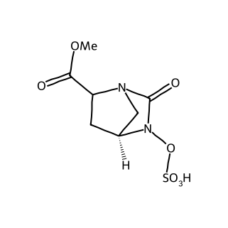 COC(=O)C1C[C@H]2CN1C(=O)N2OS(=O)(=O)O